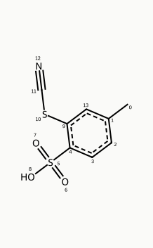 Cc1ccc(S(=O)(=O)O)c(SC#N)c1